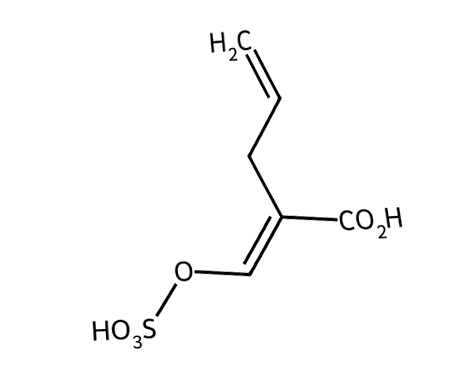 C=CCC(=COS(=O)(=O)O)C(=O)O